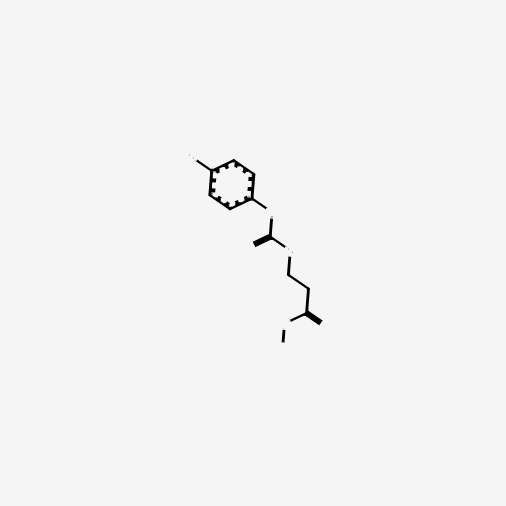 CC(C)(C)OC(=O)CCNC(=O)Oc1ccc([N+](=O)[O-])cc1